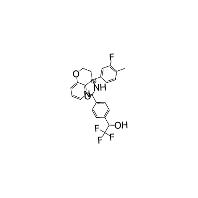 Cc1ccc([C@@]2(NC(=O)c3ccc(C(O)C(F)(F)F)cc3)CCOc3cccnc32)cc1F